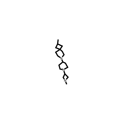 CC1CC2(CCN(C3CCN(C4CN(C)C4)CC3)CC2)C1